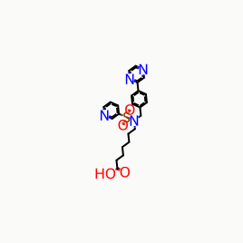 O=C(O)CCCCCCN(Cc1ccc(-c2cnccn2)cc1)S(=O)(=O)c1cccnc1